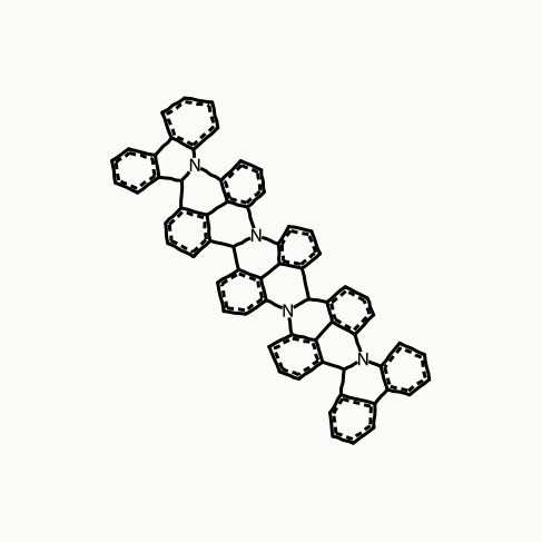 c1ccc2c(c1)-c1ccccc1N1c3cccc4c3-c3c(cccc3N3c5cccc6c5-c5c(cccc5N5c7cccc8c7-c7c(cccc7C65)C5c6ccccc6-c6ccccc6N85)C43)C21